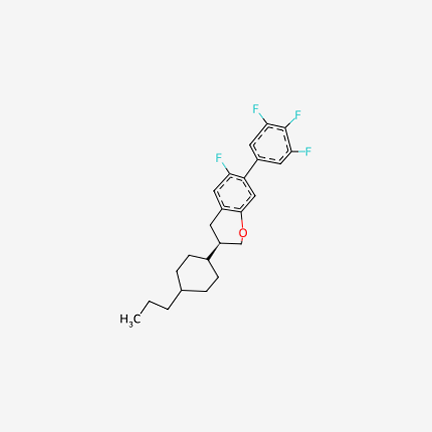 CCCC1CCC([C@@H]2COc3cc(-c4cc(F)c(F)c(F)c4)c(F)cc3C2)CC1